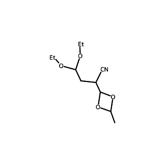 CCOC(CC(C#N)C1OC(C)O1)OCC